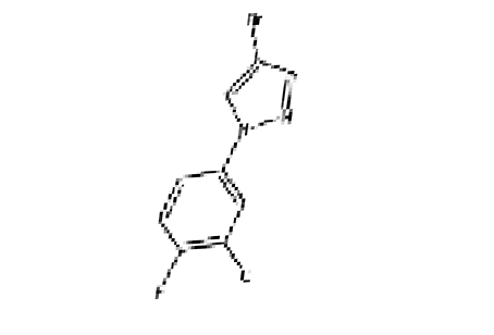 Fc1ccc(-n2cc(Br)cn2)cc1Cl